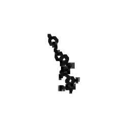 C=C1CCN(CCN2CCc3nc(Nc4ncc(F)c(-c5cc(F)c6nc(C)n(C(C)C)c6c5)n4)ccc3C2)CC1